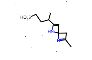 CC1=NC2(C=C(C(C)CCS(=O)(=O)O)N2)C1